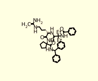 C=C(N)NCCC[C@H](NC(=O)C(CC)(CC)NC(=O)c1ccccc1)C(=O)NC1(C(=O)NC(c2ccccc2)c2ccccc2)CCCC1